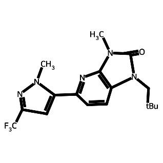 Cn1nc(C(F)(F)F)cc1-c1ccc2c(n1)n(C)c(=O)n2CC(C)(C)C